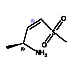 C[C@H](N)/C=C\S(C)(=O)=O